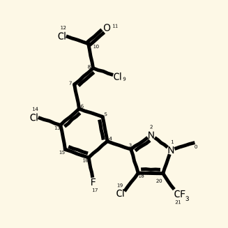 Cn1nc(-c2cc(C=C(Cl)C(=O)Cl)c(Cl)cc2F)c(Cl)c1C(F)(F)F